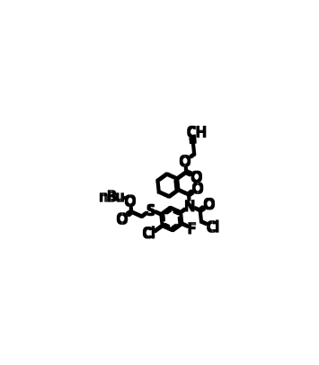 C#CCOC(=O)C1=C(C(=O)N(C(=O)CCl)c2cc(SCC(=O)OCCCC)c(Cl)cc2F)CCCC1